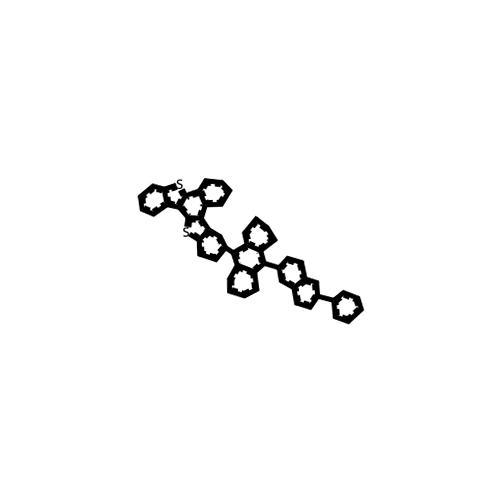 c1ccc(-c2ccc3cc(-c4c5ccccc5c(-c5ccc6sc7c(c6c5)c5ccccc5c5sc6ccccc6c57)c5ccccc45)ccc3c2)cc1